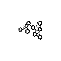 c1ccc(-n2c3ccccc3c3c4c(-c5ccc(N(c6cccc7c6oc6ccccc67)c6cccc7c6oc6ccccc67)cc5)cccc4oc32)cc1